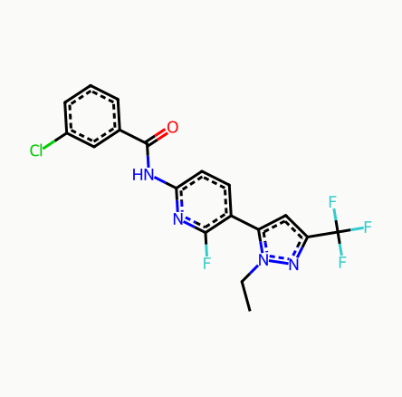 CCn1nc(C(F)(F)F)cc1-c1ccc(NC(=O)c2cccc(Cl)c2)nc1F